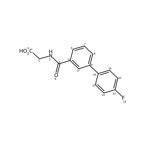 O=C(O)CNC(=O)c1cccc(-c2ccc(F)cc2)c1